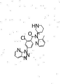 Cc1cccnc1N(C(=O)c1ccc(-n2nnc3cccnc32)cc1Cl)[C@@H]1CCCNC1